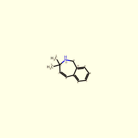 CC1(C)C=Cc2ccccc2CN1